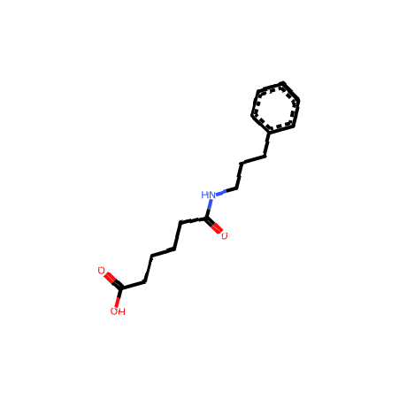 O=C(O)CCCCC(=O)NCCCc1ccccc1